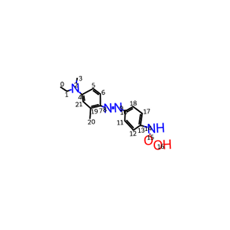 CCN(C)c1ccc(N=Nc2ccc(NOO)cc2)c(C)c1